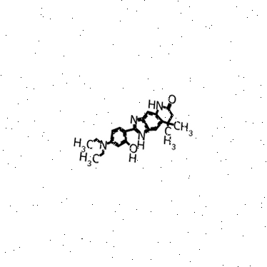 CCN(CC)c1ccc(-c2nc3cc4c(cc3[nH]2)C(C)(C)CC(=O)N4)c(O)c1